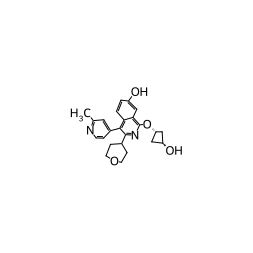 Cc1cc(-c2c(C3CCOCC3)nc(O[C@H]3C[C@H](O)C3)c3cc(O)ccc23)ccn1